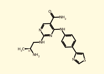 C[C@H](N)CNc1ncc(C(N)=O)c(Nc2ccc(-c3cscn3)cc2)n1